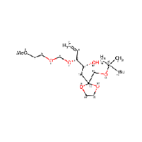 C=C[C@@H](OCOCCOC)[C@H](O)CC1(CO[Si](C)(C)C(C)(C)C)OCCO1